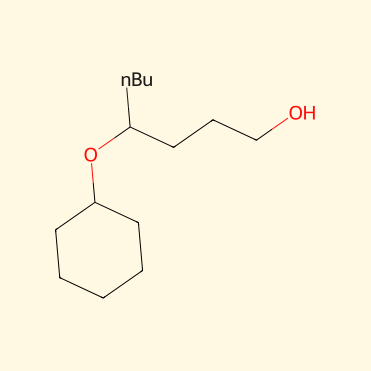 CCCCC(CCCO)OC1CCCCC1